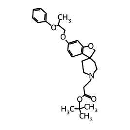 CC(COc1ccc2c(c1)OCC21CCN(CCC(=O)OC(C)(C)C)CC1)Oc1ccccc1